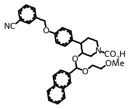 COCCOC(OC1CN(C(=O)O)CCC1c1ccc(OCc2cccc(C#N)c2)cc1)c1ccc2ccccc2c1